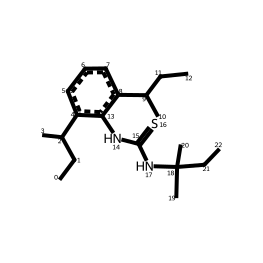 CCC(C)c1cccc(C(C)CC)c1NC(=S)NC(C)(C)CC